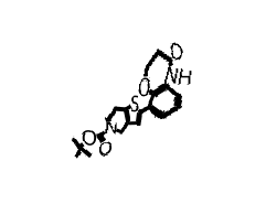 CC(C)(C)OC(=O)N1CCc2sc(-c3cccc4c3OCCC(=O)N4)cc2C1